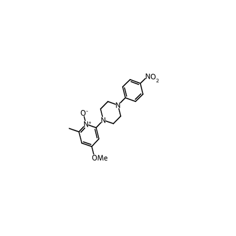 COc1cc(C)[n+]([O-])c(N2CCN(c3ccc([N+](=O)[O-])cc3)CC2)c1